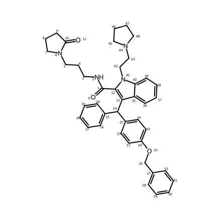 O=C(NCCCN1CCCC1=O)c1c(C(c2ccccc2)c2ccc(OCc3ccccc3)cc2)c2ccccc2n1CCN1CCCC1